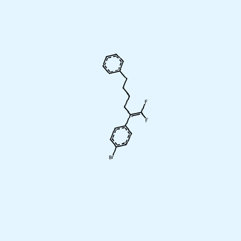 FC(F)=C(CCCCc1ccccc1)c1ccc(Br)cc1